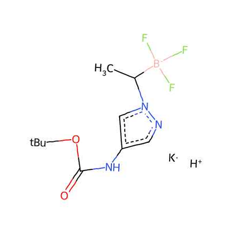 CC(n1cc(NC(=O)OC(C)(C)C)cn1)[B-](F)(F)F.[H+].[K]